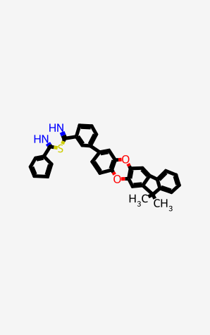 CC1(C)c2ccccc2-c2cc3c(cc21)Oc1ccc(-c2cccc(C(=N)SC(=N)c4ccccc4)c2)cc1O3